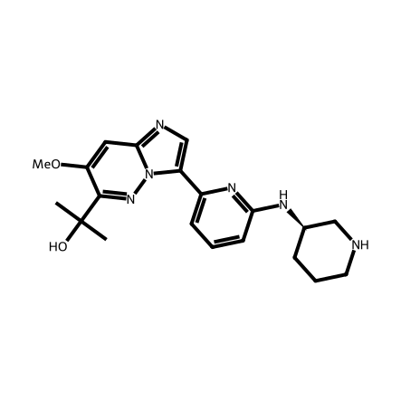 COc1cc2ncc(-c3cccc(N[C@@H]4CCCNC4)n3)n2nc1C(C)(C)O